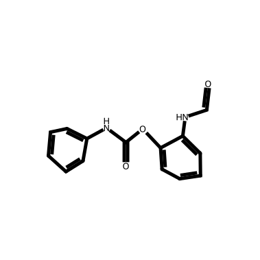 O=CNc1ccccc1OC(=O)Nc1ccccc1